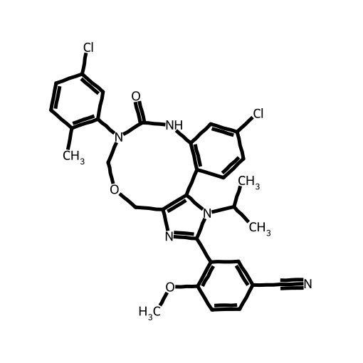 COc1ccc(C#N)cc1-c1nc2c(n1C(C)C)-c1ccc(Cl)cc1NC(=O)N(c1cc(Cl)ccc1C)COC2